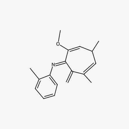 C=C1C(C)=CC(C)C=C(OC)/C1=N/c1ccccc1C